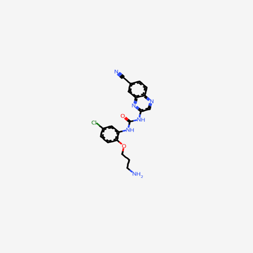 N#Cc1ccc2ncc(NC(=O)Nc3cc(Cl)ccc3OCCCN)nc2c1